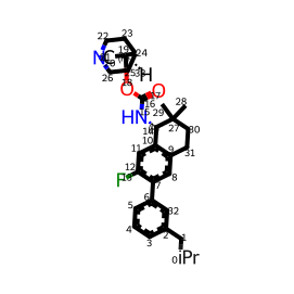 CC(C)Cc1cccc(-c2cc3c(cc2F)[C@H](NC(=O)O[C@H]2CN4CCC2CC4)C(C)(C)CC3)c1